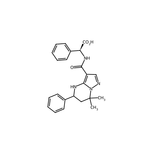 CC1(C)CC(c2ccccc2)Nc2c(C(=O)N[C@H](C(=O)O)c3ccccc3)cnn21